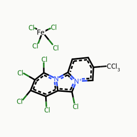 Clc1c(Cl)c(Cl)n2c(c1Cl)c(Cl)[n+]1cc(C(Cl)(Cl)Cl)ccc21.[Cl][Fe-]([Cl])([Cl])[Cl]